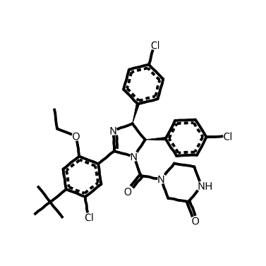 CCOc1cc(C(C)(C)C)c(Cl)cc1C1=N[C@@H](c2ccc(Cl)cc2)[C@@H](c2ccc(Cl)cc2)N1C(=O)N1CCNC(=O)C1